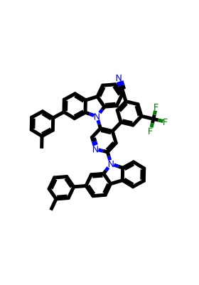 Cc1cccc(-c2ccc3c4ccccc4n(-c4cc(-c5cc(C#N)cc(C(F)(F)F)c5)c(-n5c6ccccc6c6ccc(-c7cccc(C)c7)cc65)cn4)c3c2)c1